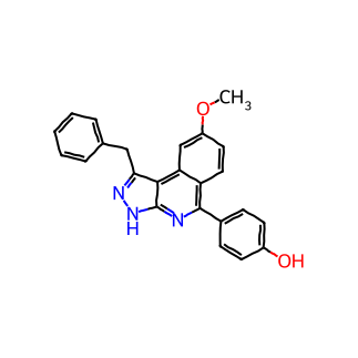 COc1ccc2c(-c3ccc(O)cc3)nc3[nH]nc(Cc4ccccc4)c3c2c1